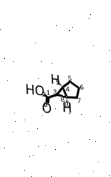 O=C(O)C1[C@H]2CCC[C@@H]12